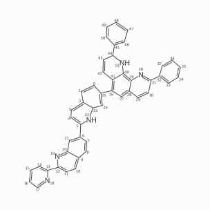 C1=CC2=CC=C(c3ccc4ccc(-c5ccccn5)nc4c3)NC2C=C1c1cc2ccc(-c3ccccc3)nc2c2c1C=CC(c1ccccc1)N2